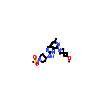 COC1CC2(C1)CN(c1nc(C)cc3cnc(NC4CCN(S(C)(=O)=O)CC4)nc13)C2